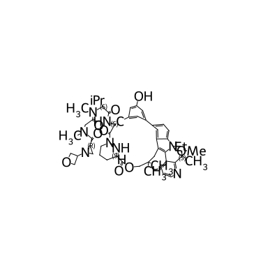 CCn1c(-c2cccnc2[C@H](C)OC)c2c3cc(ccc31)-c1cc(O)cc(c1)C[C@H](NC(=O)[C@H](C(C)C)N(C)C(=O)CN(C)C(=O)[C@H]1CN1C1COC1)C(=O)N1CCC[C@H](N1)C(=O)OCC(C)(C)C2